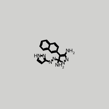 NC1=C(c2ccc3ccccc3c2)C(N)(N=Nc2cc[nH]n2)N=N1